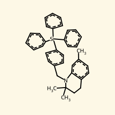 Cc1ccc2c(c1)N(Cc1ccc([Si](c3ccccc3)(c3ccccc3)c3ccccc3)cc1)C(C)(C)CC2